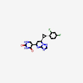 O=c1[nH]cc(-c2cc([C@H]3C[C@@H]3c3ccc(F)cc3F)n3ncnc3n2)c(=O)[nH]1